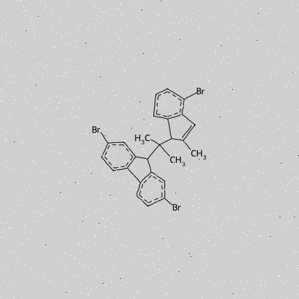 CC1=Cc2c(Br)cccc2C1C(C)(C)C1c2cc(Br)ccc2-c2ccc(Br)cc21